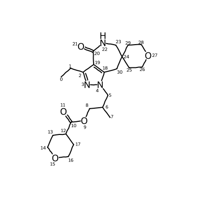 CCc1nn(CC(C)COC(=O)C2CCOCC2)c2c1C(=O)NCC1(CCOCC1)C2